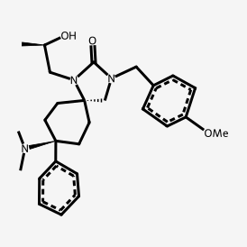 COc1ccc(CN2C[C@]3(CC[C@](c4ccccc4)(N(C)C)CC3)N(C[C@@H](C)O)C2=O)cc1